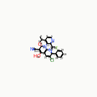 CC(C)c1ccnc(C(C)C)c1-n1c(=O)c(C#N)c(O)c2cc(Cl)c(-c3ccccc3F)nc21